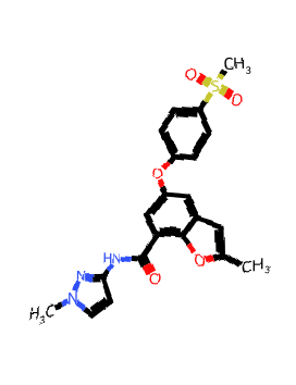 Cc1cc2cc(Oc3ccc(S(C)(=O)=O)cc3)cc(C(=O)Nc3ccn(C)n3)c2o1